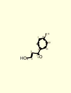 O=C(C=CO)c1ccc(F)cc1